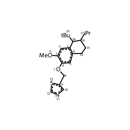 COc1cc2c(cc1OCc1cncs1)CCC(C(C)C)C2C(C)(C)C